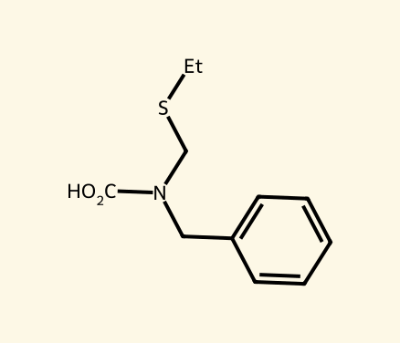 CCSCN(Cc1ccccc1)C(=O)O